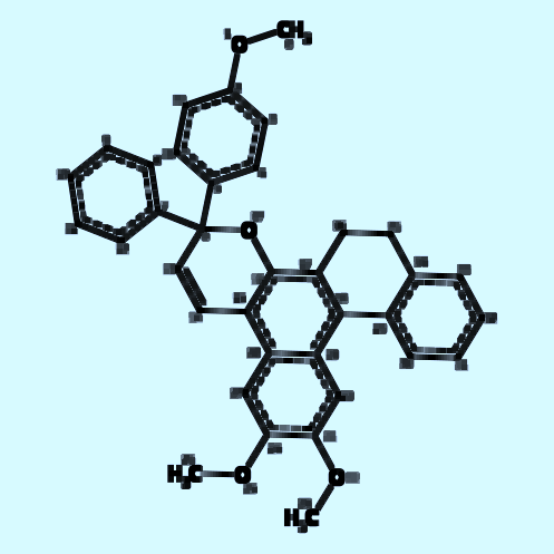 COc1ccc(C2(c3ccccc3)C=Cc3c(c4c(c5cc(OC)c(OC)cc35)-c3ccccc3CC4)O2)cc1